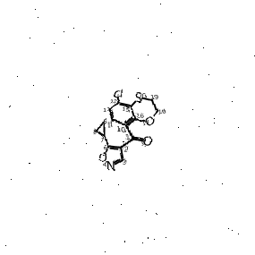 O=C(c1cnoc1C1CC1)c1ccc(Cl)c2c1OCCS2